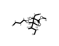 CCCCOOC(CC)(C(=O)OC)C(C)(C)C(C)CC